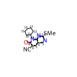 CSc1ncc2cc(C#N)c(=O)n(C3CCCCC3)c2n1